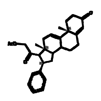 CC(=O)OCC(=O)C1[C@H](c2ccccc2)CC2C3CCC4=CC(=O)CC[C@]4(C)C3=CC[C@@]21C